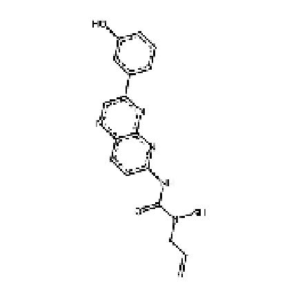 C=CCN(S)C(=O)Nc1ccc2ncc(-c3cccc(O)c3)nc2n1